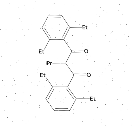 [CH2]C(C)C(C(=O)c1c(CC)cccc1CC)C(=O)c1c(CC)cccc1CC